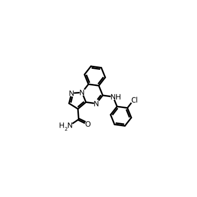 NC(=O)c1cnn2c1nc(Nc1ccccc1Cl)c1ccccc12